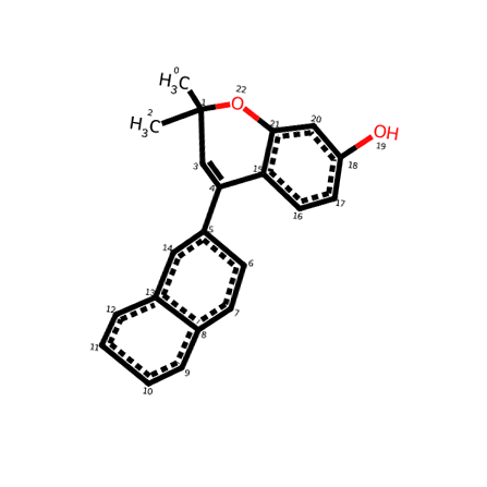 CC1(C)C=C(c2ccc3ccccc3c2)c2ccc(O)cc2O1